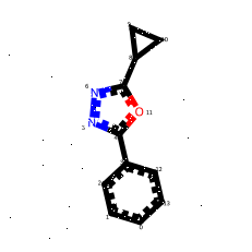 [c]1ccc(-c2nnc(C3CC3)o2)cc1